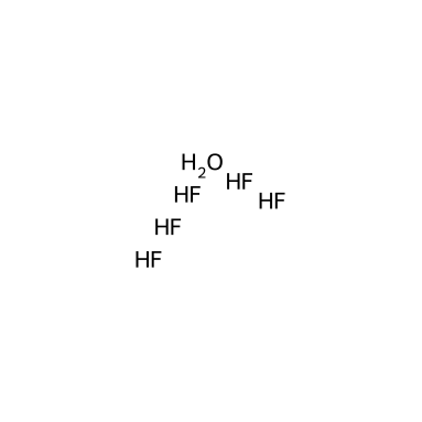 F.F.F.F.F.O